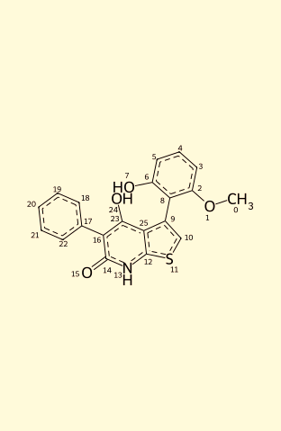 COc1cccc(O)c1-c1csc2[nH]c(=O)c(-c3ccccc3)c(O)c12